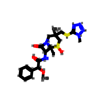 Cn1nnnc1SCC1(C(=O)O)CN2C(=O)C(NC(=O)C(OC=O)c3ccccc3)[C@H]2[S+]([O-])C1